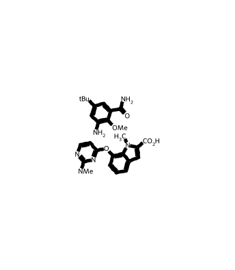 CNc1nccc(Oc2cccc3cc(C(=O)O)n(C)c23)n1.COc1c(N)cc(C(C)(C)C)cc1C(N)=O